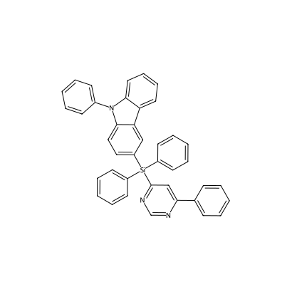 c1ccc(-c2cc([Si](c3ccccc3)(c3ccccc3)c3ccc4c(c3)c3ccccc3n4-c3ccccc3)ncn2)cc1